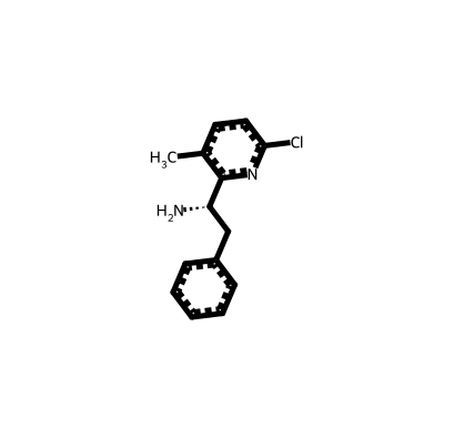 Cc1ccc(Cl)nc1[C@@H](N)Cc1ccccc1